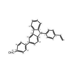 C=Cc1ccc(-n2c3ccccc3c3cc(-c4ccc(C=O)cc4)ccc32)cc1